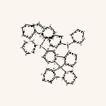 c1ccc(N(c2ccccc2)c2cccc3c2-c2cc(N(c4ccccc4)c4cccc5sc6ccccc6c45)ccc2C32c3ccccc3-c3ccccc32)cc1